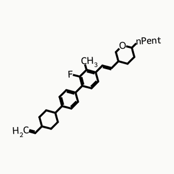 C=CC1CCC(c2ccc(-c3ccc(/C=C/C4CCC(CCCCC)OC4)c(C)c3F)cc2)CC1